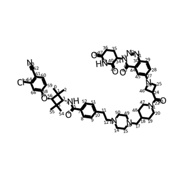 CC1(C)[C@H](NC(=O)c2ccc(CCN3CCN(CC4CCN(C(=O)C5CN(c6ccc7nnn(C8CCC(=O)NC8=O)c(=O)c7c6)C5)CC4)CC3)cc2)C(C)(C)[C@H]1Oc1ccc(C#N)c(Cl)c1